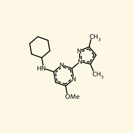 COc1cc(NC2CCCCC2)nc(-n2nc(C)cc2C)n1